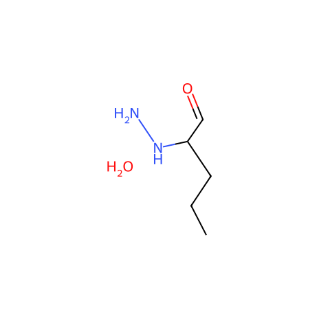 CCCC(C=O)NN.O